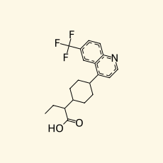 CCC(C(=O)O)C1CCC(c2ccnc3ccc(C(F)(F)F)cc23)CC1